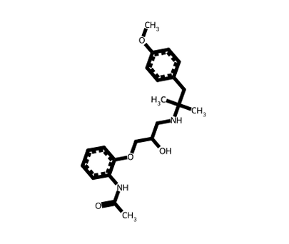 COc1ccc(CC(C)(C)NCC(O)COc2ccccc2NC(C)=O)cc1